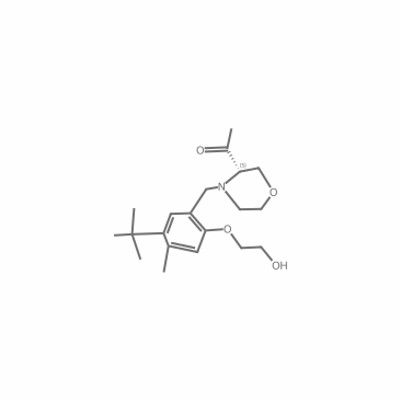 CC(=O)[C@@H]1COCCN1Cc1cc(C(C)(C)C)c(C)cc1OCCO